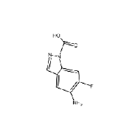 Nc1cc2cnn(C(=O)O)c2cc1F